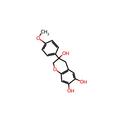 COc1ccc(C2(O)COc3cc(O)c(O)cc3C2)cc1